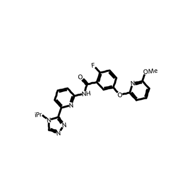 COc1cccc(Oc2ccc(F)c(C(=O)Nc3cccc(-c4nncn4C(C)C)n3)c2)n1